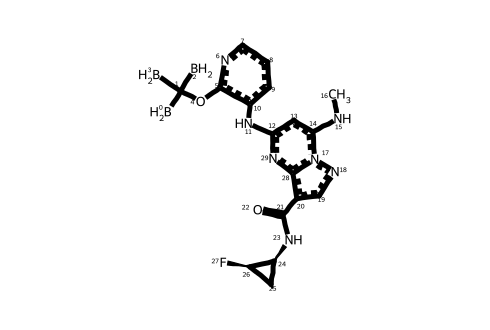 BC(B)(B)Oc1ncccc1Nc1cc(NC)n2ncc(C(=O)N[C@H]3C[C@H]3F)c2n1